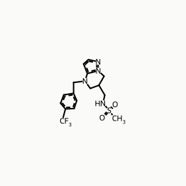 CS(=O)(=O)NCC1CN(Cc2ccc(C(F)(F)F)cc2)c2ccnn2C1